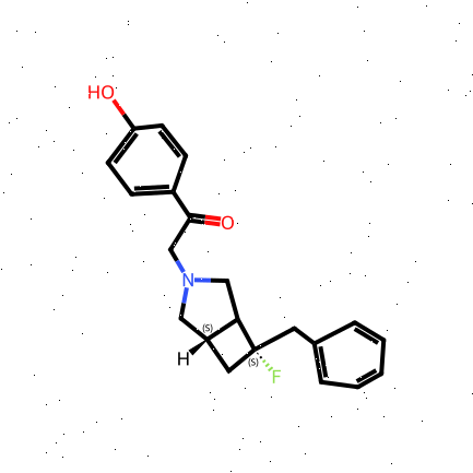 O=C(CN1CC2[C@@H](C1)C[C@]2(F)Cc1ccccc1)c1ccc(O)cc1